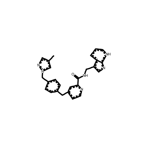 Cc1cnn(Cc2ccc(Cc3ccnc(C(=O)NCc4cnc5[nH]cccc4-5)c3)cc2)c1